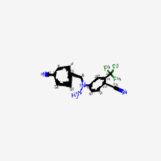 N#Cc1ccc(CN(N)c2ccc(C#N)c(C(F)(F)F)c2)cc1